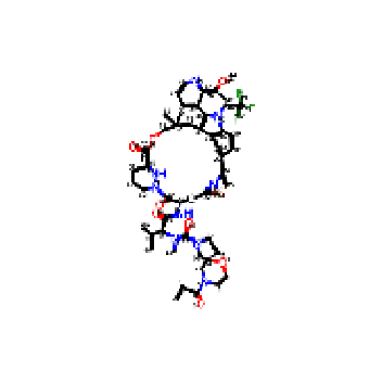 C=CC(=O)N1CCO[C@]2(CCN(C(=O)N(C)C(C(=O)N[C@H]3Cc4nc(cs4)-c4ccc5c(c4)c(c(-c4cccnc4[C@H](C)OC)n5CC(F)(F)F)CC(C)(C)COC(=O)[C@@H]4CCCN(N4)C3=O)C(C)C)C2)C1